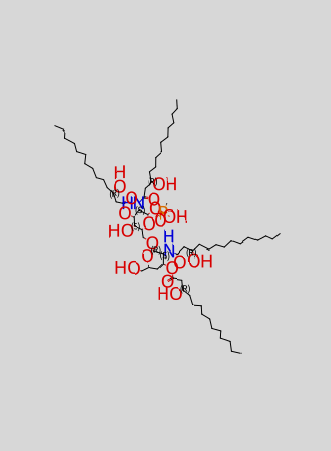 CCCCCCCCCCC[C@@H](O)CC(=O)N[C@@H]1C(OP(C)(=O)O)OC(CO[C@@H]2OC(CO)CC(OC(=O)C[C@H](O)CCCCCCCCCCC)[C@@H]2NC(=O)C[C@H](O)CCCCCCCCCCC)[C@@H](O)C1OC(=O)C[C@H](O)CCCCCCCCCCC